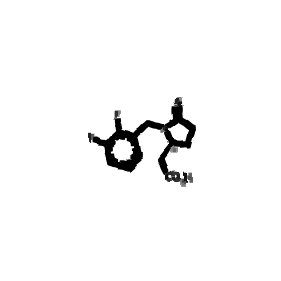 O=C(O)C[C@@H]1CCC(=S)N1Cc1cccc(F)c1F